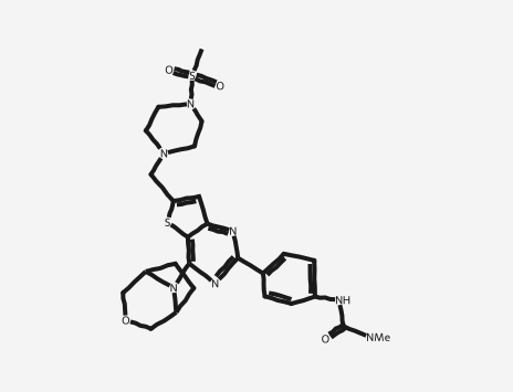 CNC(=O)Nc1ccc(-c2nc(N3C4CCC3COC4)c3sc(CN4CCN(S(C)(=O)=O)CC4)cc3n2)cc1